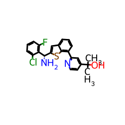 CC(C)(O)c1ccnc(-c2cccc3cc([C@H](N)c4c(F)cccc4Cl)sc23)c1